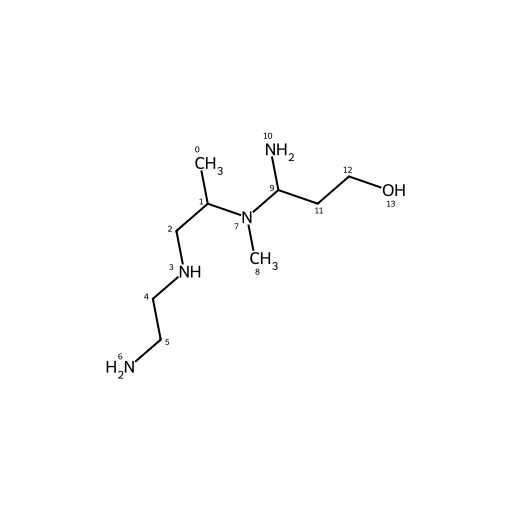 CC(CNCCN)N(C)C(N)CCO